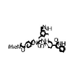 CN[C@@H](C)C(=O)N1CCC2(CC1)CCN(C(=O)[C@H](Cc1cc(C)c3[nH]ncc3c1)NC(=O)N1CCC(c3cc4ccccc4[nH]c3=O)CC1)C2